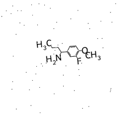 CCCC(N)c1ccc(OC)c(F)c1